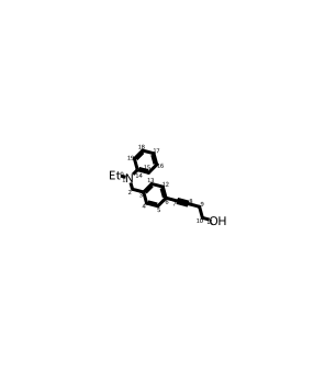 CCN(Cc1ccc(C#CCCO)cc1)c1ccccc1